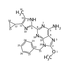 COc1nc2c(N)nc(-c3nc(C4CC4)c(C)[nH]3)nc2n1Cc1ccccc1